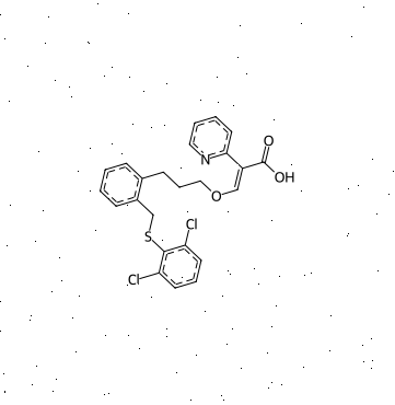 O=C(O)/C(=C/OCCCc1ccccc1CSc1c(Cl)cccc1Cl)c1ccccn1